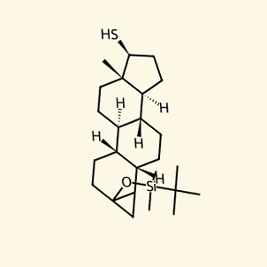 CC(C)(C)[Si](C)(C)OC12CC[C@@H]3[C@H]4CC[C@]5(C)[C@@H](S)CC[C@H]5[C@@H]4CC[C@@H]3C1C2